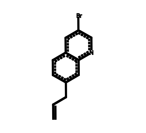 C=CCc1ccc2cc(Br)cnc2c1